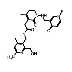 CCn1ccc(=O)c(CNN2CCC(C)=C(CC(=O)NCc3c(C)cc(N)nc3CO)C2=O)c1